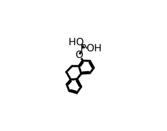 OP(O)Oc1cccc2c1CCc1ccccc1-2